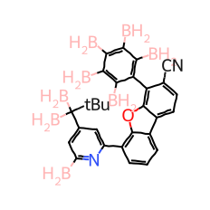 Bc1cc(C(B)(B)C(C)(C)C)cc(-c2cccc3c2oc2c(-c4c(B)c(B)c(B)c(B)c4B)c(C#N)ccc23)n1